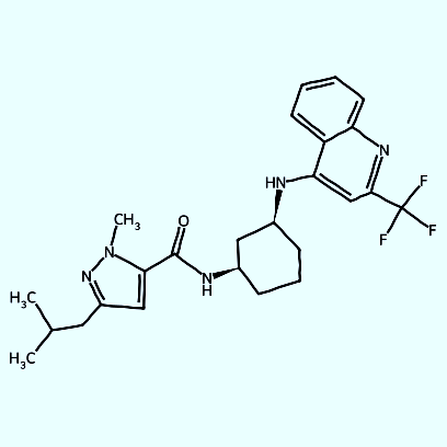 CC(C)Cc1cc(C(=O)N[C@@H]2CCC[C@H](Nc3cc(C(F)(F)F)nc4ccccc34)C2)n(C)n1